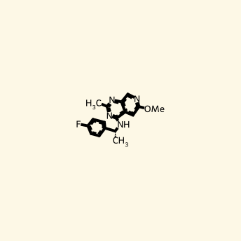 COc1cc2c(N[C@H](C)c3ccc(F)cc3)nc(C)nc2cn1